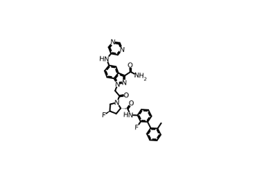 Cc1ccccc1-c1cccc(NC(=O)[C@@H]2C[C@@H](F)CN2C(=O)Cn2nc(C(N)=O)c3cc(Nc4cncnc4)ccc32)c1F